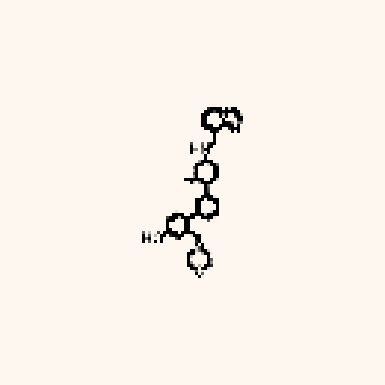 Oc1ccc(-c2cccc(C3C[CH]C(NCc4cccn5ccnc45)CC3F)c2)c(CN2CCOCC2)c1